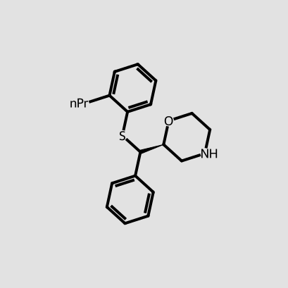 CCCc1ccccc1SC(c1ccccc1)[C@@H]1CNCCO1